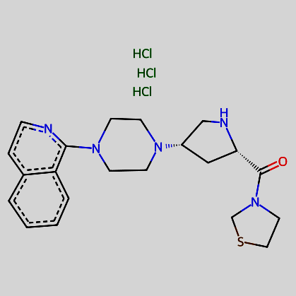 Cl.Cl.Cl.O=C([C@@H]1C[C@H](N2CCN(c3nccc4ccccc34)CC2)CN1)N1CCSC1